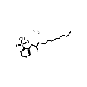 N.O=S(=O)(O)c1ccccc1CC(I)CCCCCCCCI